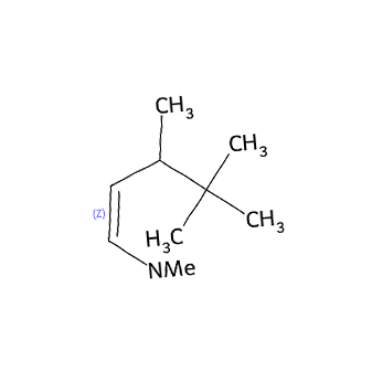 CN/C=C\C(C)C(C)(C)C